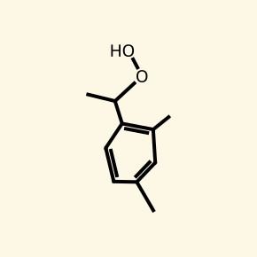 Cc1ccc(C(C)OO)c(C)c1